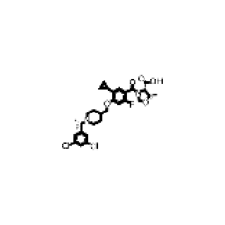 C[C@H]1OCN(C(=O)c2cc(C3CC3)c(OCC3CCN([C@@H](C)c4cc(Cl)cc(Cl)c4)CC3)cc2F)[C@@H]1C(=O)O